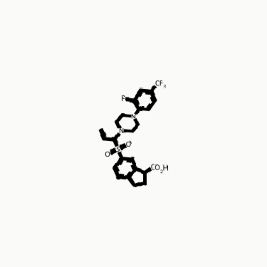 C=CC(N1CCN(c2ccc(C(F)(F)F)cc2F)CC1)S(=O)(=O)c1ccc2c(c1)C(C(=O)O)CC2